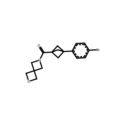 O=C(N1CC2(COC2)C1)C12CC(c3ccc(Br)cc3)(C1)C2